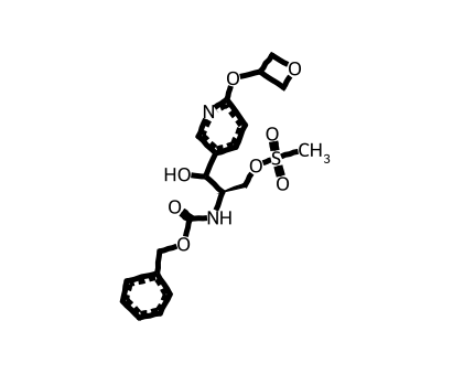 CS(=O)(=O)OC[C@@H](NC(=O)OCc1ccccc1)C(O)c1ccc(OC2COC2)nc1